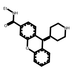 CCNC(=O)c1ccc2c(c1)Oc1ccccc1C2=C1CCNCC1